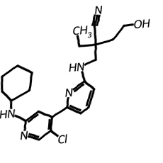 CCC(C#N)(CCO)CNc1cccc(-c2cc(NC3CCCCC3)ncc2Cl)n1